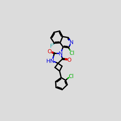 O=C1NC2(CC(c3ccccc3Cl)C2)C(=O)N1c1c(Cl)ncc2cccc(F)c12